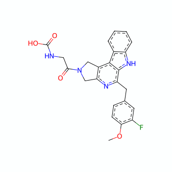 COc1ccc(Cc2nc3c(c4c2[nH]c2ccccc24)CN(C(=O)CNC(=O)O)C3)cc1F